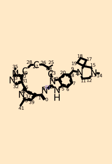 C=C1/N=C2\Nc3ccc(CN4CCN(C)CC45CCC5)cc3N2C[C@H](C)CCCCc2c(cnn2C)-c2cc1cc(C)n2